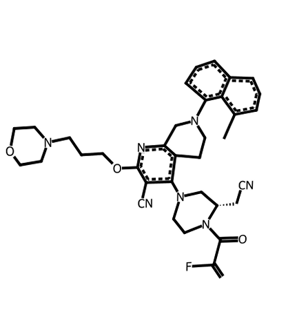 C=C(F)C(=O)N1CCN(c2c(C#N)c(OCCCN3CCOCC3)nc3c2CCN(c2cccc4cccc(C)c24)C3)C[C@@H]1CC#N